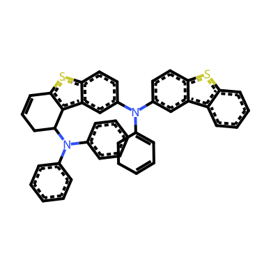 C1=CCCC(N(c2ccc3sc4c(c3c2)C(N(c2ccccc2)c2ccccc2)CC=C4)c2ccc3sc4ccccc4c3c2)=C1